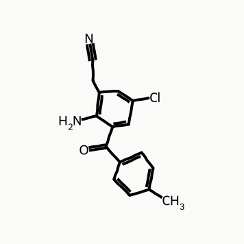 Cc1ccc(C(=O)c2cc(Cl)cc(CC#N)c2N)cc1